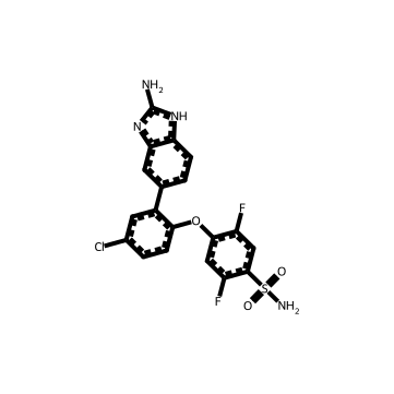 Nc1nc2cc(-c3cc(Cl)ccc3Oc3cc(F)c(S(N)(=O)=O)cc3F)ccc2[nH]1